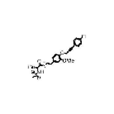 CCC(C)C(NS(C)(=O)=O)C(=O)NCCc1ccc(OCC#Cc2ccc(Cl)cc2)c(OC)c1